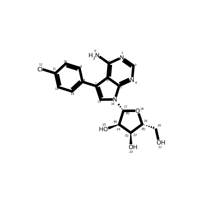 Nc1ncnc2c1c(-c1ccc(Cl)cc1)cn2[C@@H]1O[C@H](CO)[C@@H](O)[C@H]1O